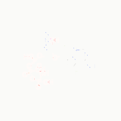 [N-]=[N+]=N[C@]1(COP(=O)(O)OP(=O)(O)OP(=O)(O)O)O[C@@H](c2cc(F)c3c(N)ncnn23)[C@H](F)[C@@H]1O